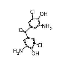 Nc1cc(C(=O)c2cc(N)c(O)c(Cl)c2)cc(Cl)c1O